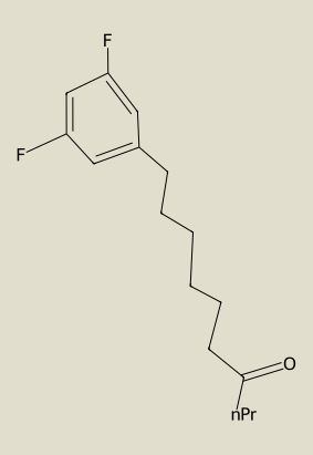 CCCC(=O)CCCCCCc1cc(F)cc(F)c1